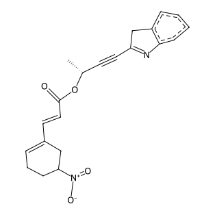 C[C@H](C#CC1=Nc2ccccc2C1)OC(=O)/C=C/C1=CCCC([N+](=O)[O-])C1